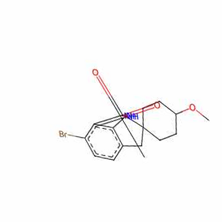 COC1CCC2(CC1)Cc1ccc(Br)cc1C21NC(=O)NC1=O